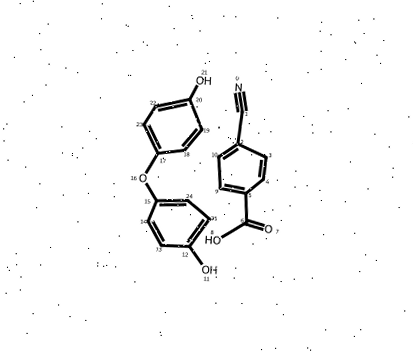 N#Cc1ccc(C(=O)O)cc1.Oc1ccc(Oc2ccc(O)cc2)cc1